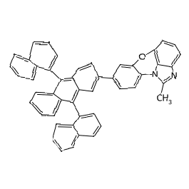 Cc1nc2cccc3c2n1-c1ccc(-c2ccc4c(-c5cccc6ccccc56)c5ccccc5c(-c5cccc6ccccc56)c4c2)cc1O3